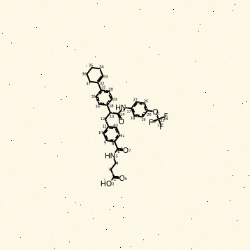 O=C(O)CCNC(=O)c1ccc(CC(C(=O)Nc2ccc(OC(F)(F)F)cc2)c2ccc(C3=CCCCC3)cc2)cc1